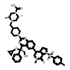 Cc1ccc(S(=O)(=O)n2ccc3c(-c4ccc5nc(N6CCC(CN7C[C@@H](C)N(C(=O)O)C[C@@H]7C)CC6)nc([C@@](CO)(OC6CC6)c6ccccc6)c5c4)cn(C)c(=O)c32)cc1